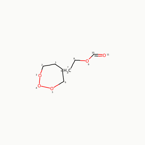 C1CCOOOC1.CCOC=O